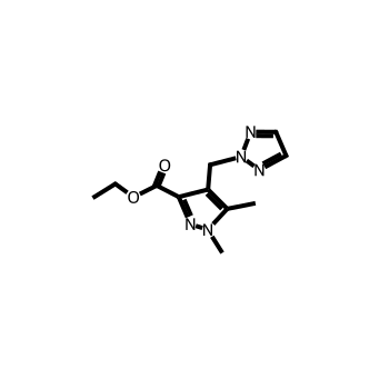 CCOC(=O)c1nn(C)c(C)c1Cn1nccn1